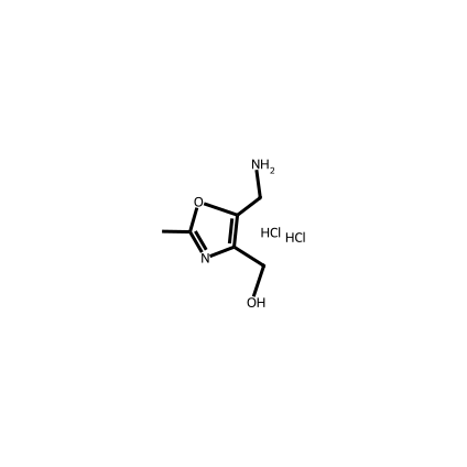 Cc1nc(CO)c(CN)o1.Cl.Cl